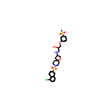 CS(=O)(=O)c1cccc(OCC(O)CNC2COC3(CCN(S(=O)(=O)c4ccc5c(Cl)cccc5c4)CC3)C2)c1